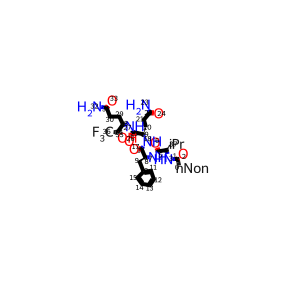 CCCCCCCCCC(=O)N[C@H](C(=O)N[C@@H](Cc1ccccc1)C(=O)N[C@@H](CCC(N)=O)C(=O)NC(CCC(N)=O)C(O)C(F)(F)F)C(C)C